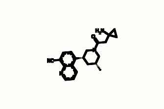 C[C@@H]1C[C@H](c2ccc(C#N)c3ncccc23)CN(C(=O)CC2(N)CC2)C1